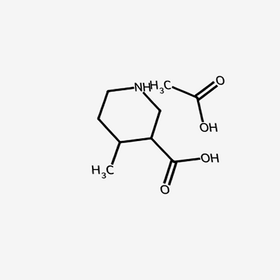 CC(=O)O.CC1CCNCC1C(=O)O